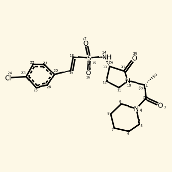 C[C@H](C(=O)N1CCCCC1)N1CC[C@H](NS(=O)(=O)C=Cc2ccc(Cl)cc2)C1=O